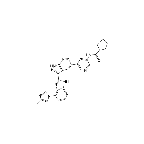 Cc1cn(-c2ccnc3[nH]c(-c4n[nH]c5ncc(-c6cncc(NC(=O)C7CCCC7)c6)cc45)nc23)cn1